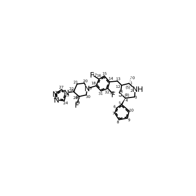 C[C@@H]1NC[C@@H](c2ccccc2)SC1Cc1cc(F)c(N2CC[C@H](n3cnnc3)[C@H](F)C2)cc1F